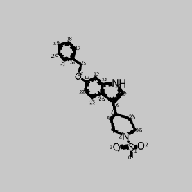 CS(=O)(=O)N1CCC(c2c[nH]c3cc(OCc4ccccc4)ccc23)CC1